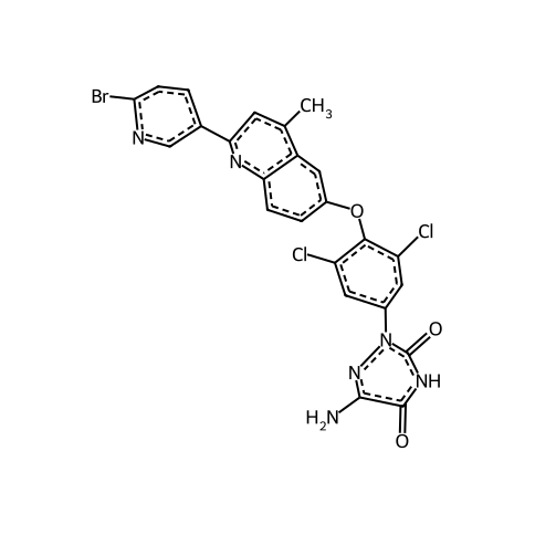 Cc1cc(-c2ccc(Br)nc2)nc2ccc(Oc3c(Cl)cc(-n4nc(N)c(=O)[nH]c4=O)cc3Cl)cc12